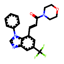 O=C(C=Cc1cc(C(F)(F)F)cc2ncn(-c3ccccc3)c12)N1CCOCC1